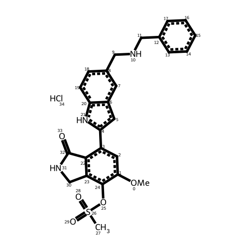 COc1cc(-c2cc3cc(CNCc4ccccc4)ccc3[nH]2)c2c(c1OS(C)(=O)=O)CNC2=O.Cl